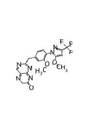 COc1cc(Cc2ncc3c(n2)=NC(=O)CN=3)ccc1-n1nc(C(F)(F)F)cc1OC